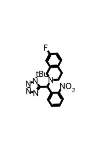 CC(C)(C)n1nnnc1C(c1ccccc1[N+](=O)[O-])N1CCc2ccc(F)cc2C1